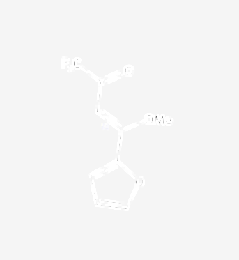 CO/C(=C\C(=O)C(F)(F)F)c1ccco1